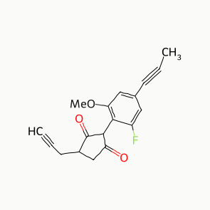 C#CCC1CC(=O)C(c2c(F)cc(C#CC)cc2OC)C1=O